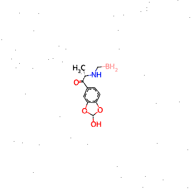 BCN[C@@H](C)C(=O)c1ccc2c(c1)OC(O)O2